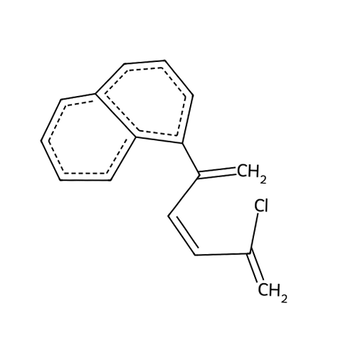 C=C(Cl)/C=C\C(=C)c1cccc2ccccc12